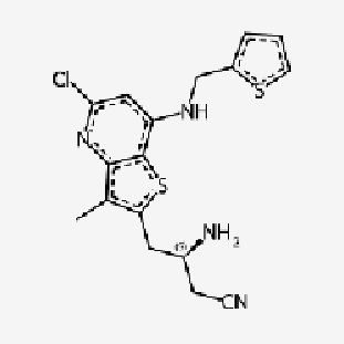 Cc1c(C[C@@H](N)CC#N)sc2c(NCc3cccs3)cc(Cl)nc12